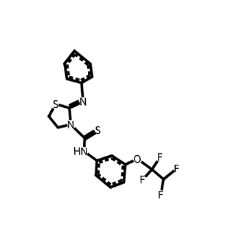 FC(F)C(F)(F)Oc1cccc(NC(=S)N2CCSC2=Nc2ccccc2)c1